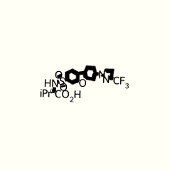 CC(C)[C@H](NS(=O)(=O)c1ccc2c(c1)oc1cc(-n3ccc(C(F)(F)F)n3)ccc12)C(=O)O